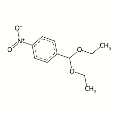 CCOC(OCC)c1ccc([N+](=O)[O-])cc1